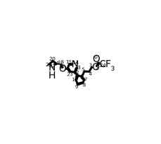 O=C(OCCCc1ccccc1-c1cncc(OC[C@@H]2CCN2)c1)C(F)(F)F